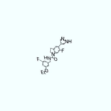 CCOc1cc(F)cc(CNC(=O)N2CCc3cc(-c4cn[nH]c4)c(F)cc32)c1